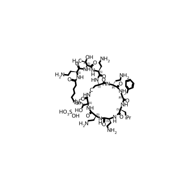 CCC(C)CCCCC(=O)N[C@@H](CCN)C(=O)N[C@H](C(=O)N[C@@H](CCN)C(=O)N[C@H]1CCNC(=O)[C@H]([C@@H](C)O)NC(=O)[C@H](CCN)NC(=O)[C@H](CCN)NC(=O)[C@H](CC(C)C)NC(=O)[C@@H](Cc2ccccc2)NC(=O)[C@@H](CCN)NC1=O)[C@@H](C)O.O=S(=O)(O)O